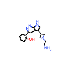 NCCN1CC(c2c[nH]c3nnc(-c4ccccc4O)cc23)C1